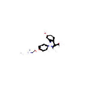 COc1ccc2c(C(C)=O)c(C)n(-c3ccc(OCCN(C)C)cc3)c2c1